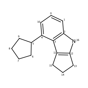 c1cc2c(c(C3CCCC3)c1)C1=C(CCC1)[N]2